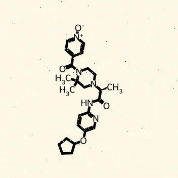 C[C@@H](C(=O)Nc1ccc(OC2CCCC2)cn1)N1CCN(C(=O)c2cc[n+]([O-])cc2)C(C)(C)C1